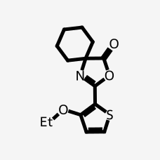 CCOc1ccsc1C1=NC2(CCCCC2)C(=O)O1